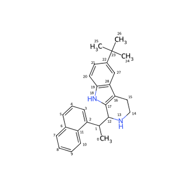 CC(c1cccc2ccccc12)C1NCCc2c1[nH]c1ccc(C(C)(C)C)cc21